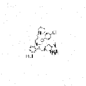 CN(C)C1CCN(Cc2c(COc3ccc(Cl)cc3)n(CCCN3CCCCC3)c3ccccc23)CC1.Cl.Cl.Cl